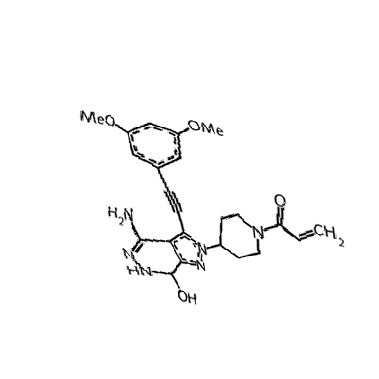 C=CC(=O)N1CCC(n2nc3c(c2C#Cc2cc(OC)cc(OC)c2)C(N)=NNC3O)CC1